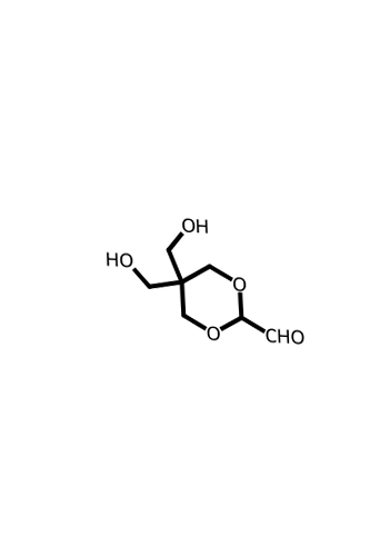 O=CC1OCC(CO)(CO)CO1